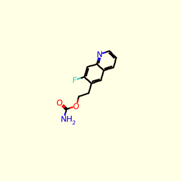 NC(=O)OCCc1cc2cccnc2cc1F